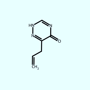 C=CCc1n[nH]cnc1=O